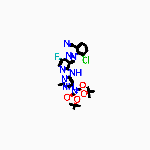 C=C(/C=C(\N=C(\C)N)Nc1ncc(F)c2nn(-c3c(Cl)cccc3C#N)cc12)N(C(=O)OC(C)(C)C)C(=O)OC(C)(C)C